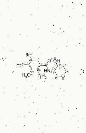 Cc1c(Br)cc(C(=O)N[C@H]2COCC[C@@H]2O)c(N)c1C